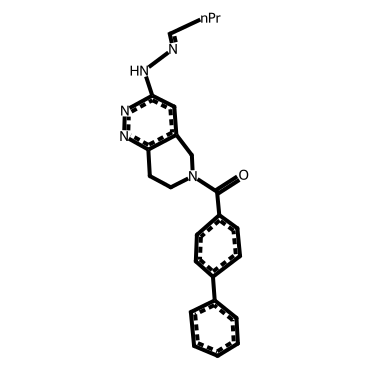 CCCC=NNc1cc2c(nn1)CCN(C(=O)c1ccc(-c3ccccc3)cc1)C2